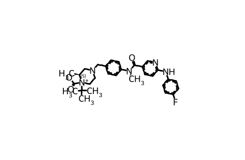 C[C@H]1CN(Cc2ccc(N(C)C(=O)c3ccc(Nc4ccc(F)cc4)nc3)cc2)CC[N+]1(C(=O)[O-])C(C)(C)C